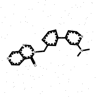 CN(C)c1cc(-c2cccc(Cn3cnc4cnccc4c3=O)c2)ccn1